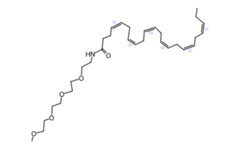 CC/C=C\C/C=C\C/C=C\C/C=C\C/C=C\C/C=C\CCC(=O)NCCOCCOCCOCCOC